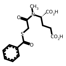 CN(C(=O)CSC(=O)c1ccccc1)[C@@H](CCC(=O)O)C(=O)O